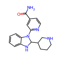 NC(=O)c1ccnc(N2c3ccccc3NC2C2CCCNC2)c1